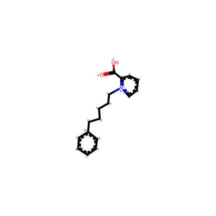 O=C(O)c1cccc[n+]1CCCCCc1ccccc1